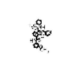 COc1cccc(NC(=S)C2C3C=CC4(O3)C2C(=O)N(Cc2cccnc2)C4C(=O)NC2CCCCC2C)c1